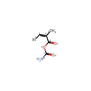 CCC=C(C)C(=O)OC(N)=O